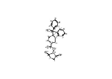 O=C(ON1C(=O)CCC1=O)N1CCC(C(O)(c2ccccc2)c2ccccc2)CC1